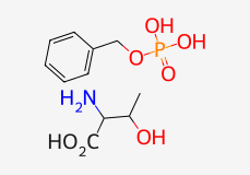 CC(O)C(N)C(=O)O.O=P(O)(O)OCc1ccccc1